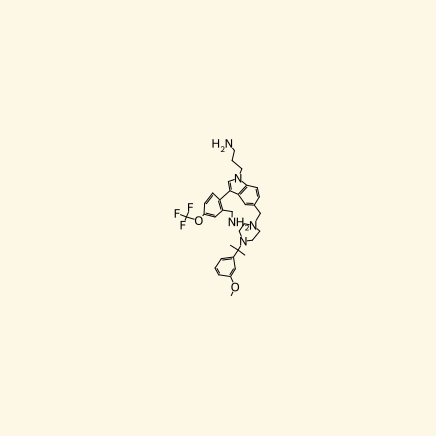 COc1cccc(C(C)(C)N2CCN(Cc3ccc4c(c3)c(-c3ccc(OC(F)(F)F)cc3CN)cn4CCCN)CC2)c1